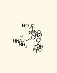 CCc1ccc(C(=O)N2C(=O)CN(CCC(=O)O)C(=O)c3cc(CCCCCNC(=N)N)ccc32)cc1.O=C(O)C(F)(F)F